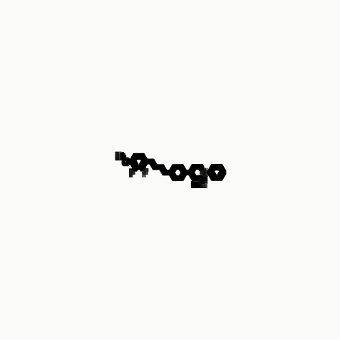 CCCC[C@@H]1CC(C2CCC(CCCCc3ccc(OCC)c(F)c3F)CC2)CC[Si@H]1c1ccccc1